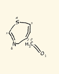 C=O.c1cscn1